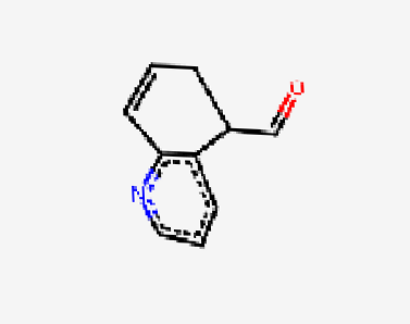 O=CC1CC=Cc2ncccc21